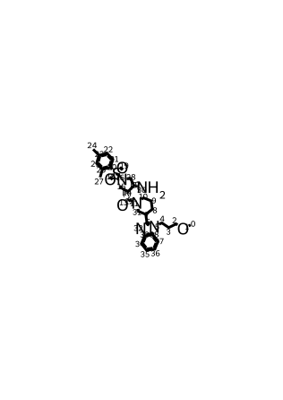 COCCCn1c(C2CCCN(C(=O)[C@@H]3CN(S(=O)(=O)c4ccc(C)cc4C)C[C@H]3N)C2)nc2ccccc21